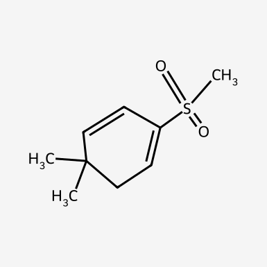 CC1(C)C=CC(S(C)(=O)=O)=CC1